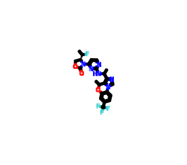 CC(Nc1nccc(N2C(=O)OC[C@@H]2C(C)F)n1)c1ncn2c1C(C)Oc1cc(C(F)(F)F)ccc1-2